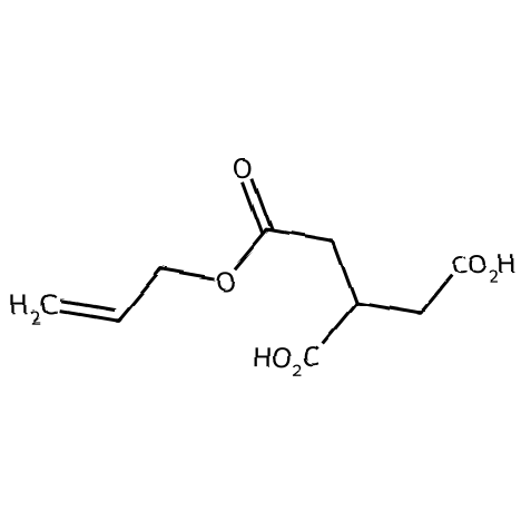 C=CCOC(=O)CC(CC(=O)O)C(=O)O